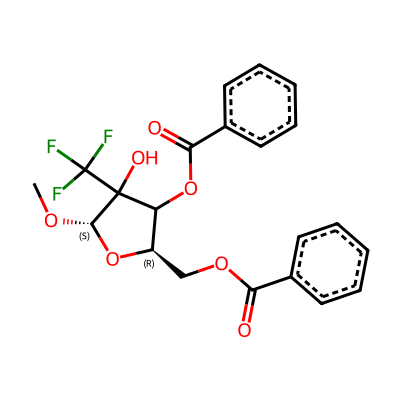 CO[C@H]1O[C@H](COC(=O)c2ccccc2)C(OC(=O)c2ccccc2)C1(O)C(F)(F)F